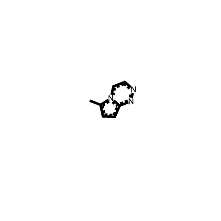 Cc1ccc2nnccn12